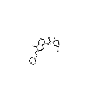 Cc1ccc(Cl)cc1C(=O)Nc1cccc2c(=O)n(CCN3CCOCC3)ccc12